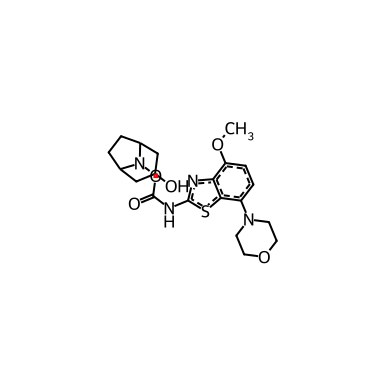 COc1ccc(N2CCOCC2)c2sc(NC(=O)ON3C4CCC3CC(O)C4)nc12